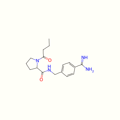 CCCC(=O)N1CCCC1C(=O)NCc1ccc(C(=N)N)cc1